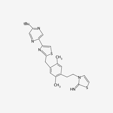 Cc1cc(Cc2nc(-c3cnc(C(C)(C)C)cn3)cs2)c(C)cc1CCn1ccsc1=N